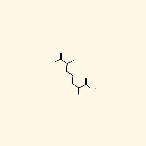 COC(=O)C(C)CCCC(C)C(=[Te])OC